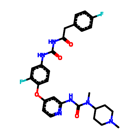 CN1CCC(N(C)C(=O)Nc2cc(Oc3ccc(NC(=O)NC(=O)Cc4ccc(F)cc4)cc3F)ccn2)CC1